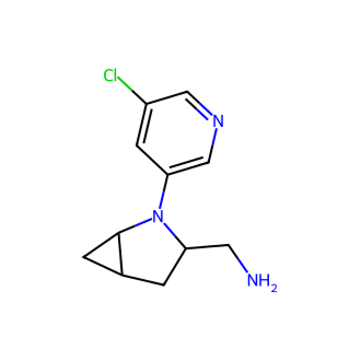 NCC1CC2CC2N1c1cncc(Cl)c1